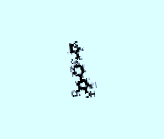 Oc1c(Cl)cc(-c2ccc(OCc3ccsc3)nn2)cc1Cl